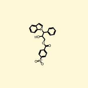 O=C(OCC(O)C(c1ccccc1)n1ccc2ccccc21)c1ccc([N+](=O)[O-])cc1